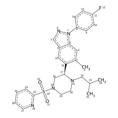 Cc1cc2c(cnn2-c2ccc(F)cc2)cc1[C@@H]1CN(S(=O)(=O)c2ccccn2)CCN1CC(C)C